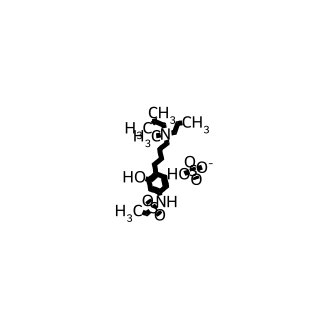 CCC[N+](C)(CCCCc1ccc(NS(=O)(=O)CC)cc1O)CC(C)C.O=S(=O)([O-])O